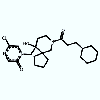 O=C(CCC1CCCCC1)N1CCC(O)(Cn2cc(Cl)ncc2=O)C2(CCCC2)C1